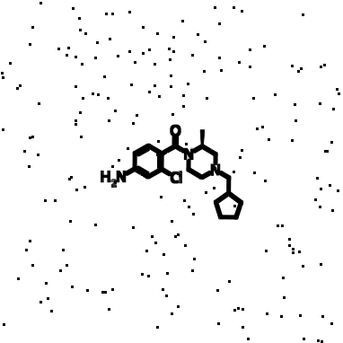 C[C@H]1CN(CC2CCCC2)CCN1C(=O)c1ccc(N)cc1Cl